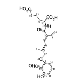 C=C/C(=C\C=C(/C)COc1cccc(O)c1C=O)C(=O)N[C@@H](CCCC(=O)O)C(=O)O